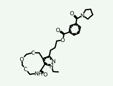 CCn1nc(CCCOC(=O)c2cccc(C(=O)N3CCCC3)c2)c2c1C(=O)NCCCOCCC2